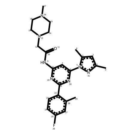 Cc1cc(C)n(-c2cc(NC(=O)CN3CCN(C)CC3)nc(-c3ccc(F)cc3C)n2)n1